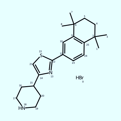 Br.CC1(C)CCC(C)(C)c2cc(-c3nc(C4CCNCC4)cs3)ccc21